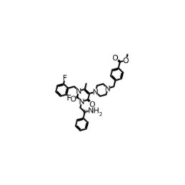 COC(=O)c1ccc(CN2CCN(c3c(C)n(Cc4c(F)cccc4F)c(=O)n(C[C@@H](N)c4ccccc4)c3=O)CC2)cc1